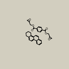 O=C(OCC1CO1)c1ccc(C(=O)OCC2CO2)cc1.c1ccc2c(c1)ccc1c3c(ccc12)CCCC3